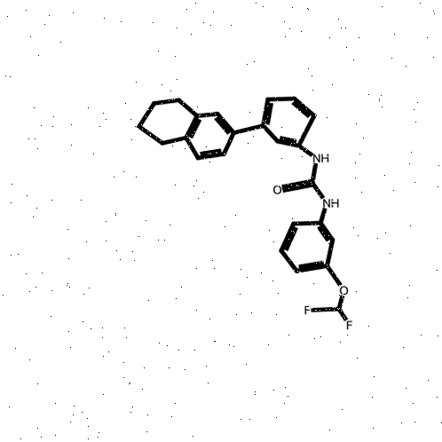 O=C(Nc1cccc(OC(F)F)c1)Nc1cccc(-c2ccc3c(c2)CC[CH]C3)c1